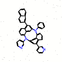 c1ccc(-n2c3cc(-c4ccc5ccccc5c4)c4cccc(c4c3)n(-c3cccnc3)c3cc(-c4cccnc4)c4cccc2c4c3)cc1